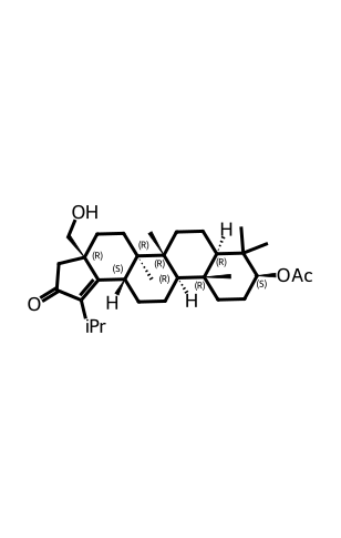 CC(=O)O[C@H]1CC[C@]2(C)[C@H]3CC[C@@H]4C5=C(C(C)C)C(=O)C[C@]5(CO)CC[C@@]4(C)[C@]3(C)CC[C@H]2C1(C)C